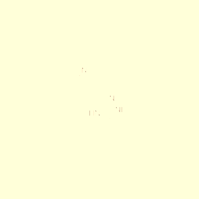 C=C1NN=C(CCN)N1